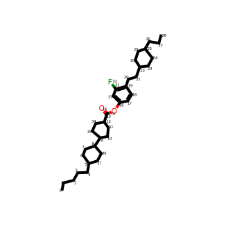 CCCCCC1CCC(C2CCC(C(=O)Oc3ccc(CCC4CCC(CCC)CC4)c(F)c3)CC2)CC1